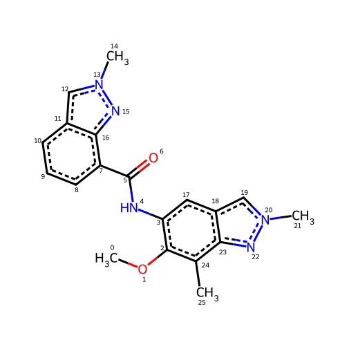 COc1c(NC(=O)c2cccc3cn(C)nc23)cc2cn(C)nc2c1C